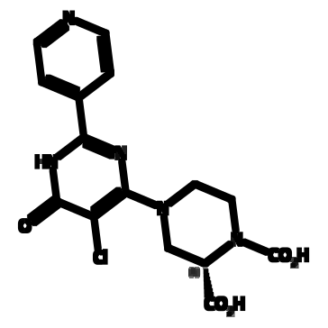 O=C(O)[C@@H]1CN(c2nc(-c3ccncc3)[nH]c(=O)c2Cl)CCN1C(=O)O